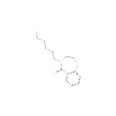 O=C1c2ccccc2OCCN1CCCCCBr